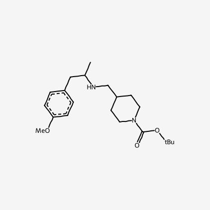 COc1ccc(CC(C)NCC2CCN(C(=O)OC(C)(C)C)CC2)cc1